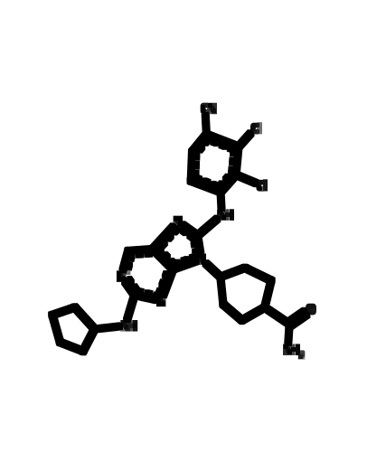 N#Cc1ccc(Nc2nc3cnc(NC4CCCC4)nc3n2C2CCC(C(N)=O)CC2)c(Cl)c1Cl